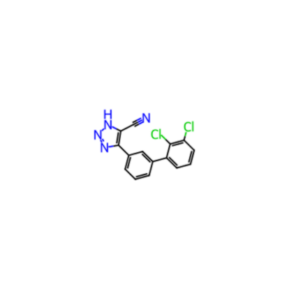 N#Cc1[nH]nnc1-c1cccc(-c2cccc(Cl)c2Cl)c1